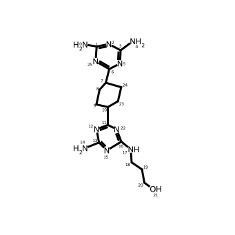 Nc1nc(N)nc(C2CCC(c3nc(N)nc(NCCCO)n3)CC2)n1